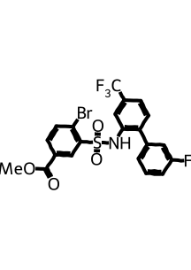 COC(=O)c1ccc(Br)c(S(=O)(=O)Nc2cc(C(F)(F)F)ccc2-c2cccc(F)c2)c1